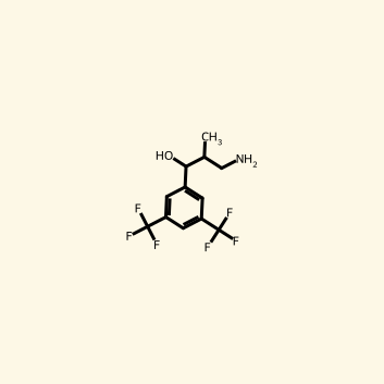 CC(CN)C(O)c1cc(C(F)(F)F)cc(C(F)(F)F)c1